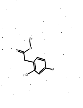 CC(C)OC(=O)Cc1ccc(F)cc1O